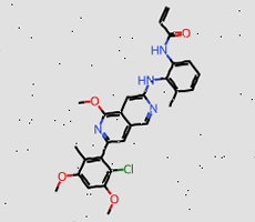 C=CC(=O)Nc1cccc(C)c1Nc1cc2c(OC)nc(-c3c(C)c(OC)cc(OC)c3Cl)cc2cn1